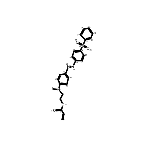 C=CC(=O)OCCN(C)c1ccc(/N=N/c2ccc(S(=O)(=O)c3ccccc3)cc2)cc1